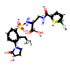 CCc1c(N2CC[C@H](O)C2=O)cccc1S(=O)(=O)NC(CNC(=O)c1ccc(Cl)s1)C(=O)O